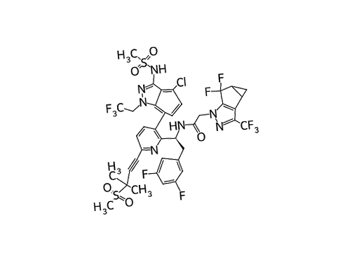 CC(C)(C#Cc1ccc(-c2ccc(Cl)c3c(NS(C)(=O)=O)nn(CC(F)(F)F)c23)c([C@H](Cc2cc(F)cc(F)c2)NC(=O)Cn2nc(C(F)(F)F)c3c2C(F)(F)C2CC32)n1)S(C)(=O)=O